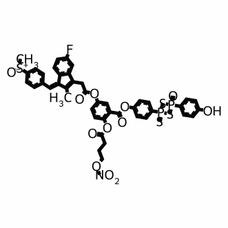 CC1=C(CC(=O)Oc2ccc(OC(=O)CCCO[N+](=O)[O-])c(C(=O)Oc3ccc(P4(=S)SP(=O)(c5ccc(O)cc5)S4)cc3)c2)c2cc(F)ccc2/C1=C\c1ccc([S+](C)[O-])cc1